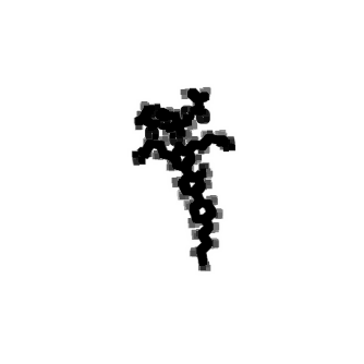 C=C(C)C(=O)OCC(CC#N)(COC(=O)C(=C)C)COc1c(CCCC#N)cc(-c2ccc(C3CCC(CCCCC)CC3)cc2F)cc1CCCC#N